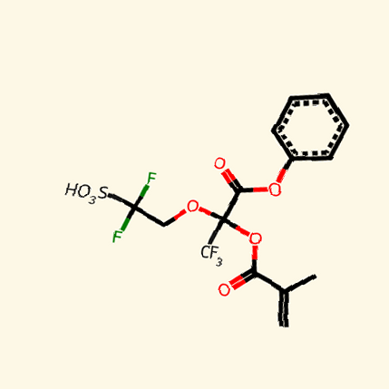 C=C(C)C(=O)OC(OCC(F)(F)S(=O)(=O)O)(C(=O)Oc1ccccc1)C(F)(F)F